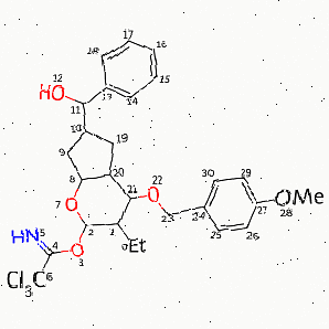 CCC1C(OC(=N)C(Cl)(Cl)Cl)OC2CC(C(O)c3ccccc3)CC2C1OCc1ccc(OC)cc1